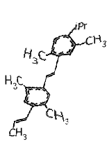 C/C=C/c1cc(C)c(/C=C/c2cc(C)c(C(C)C)cc2C)cc1C